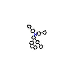 c1ccc(-c2ccc(-c3cc(N(c4ccc(-c5ccccc5)cc4)c4ccc(-c5ccccc5)cc4)ccc3-c3ccc4ccc5ccccc5c4c3)cc2)cc1